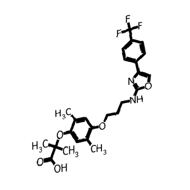 Cc1cc(OC(C)(C)C(=O)O)c(C)cc1OCCCNc1nc(-c2ccc(C(F)(F)F)cc2)co1